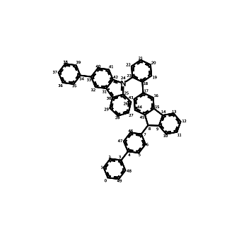 c1ccc(-c2ccc(C3c4ccccc4-c4cc(-c5ccccc5-n5c6ccccc6c6cc(-c7ccccc7)ccc65)ccc43)cc2)cc1